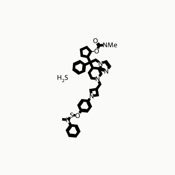 CNC(=O)O[C@H]1CCCC1C(Cn1ccnc1)(c1ccccc1)C1CCN(CC2CN(c3ccc(OSN(C)c4ccccc4)cc3)C2)CC1.S